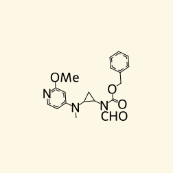 COc1cc(N(C)C2CC2N(C=O)C(=O)OCc2ccccc2)ccn1